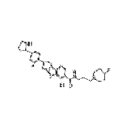 CCc1c(C(=O)NCCCN2CCC(F)CC2)ccc2c1sc1nc(-c3ccc(C4CCCN4)cc3F)cn12